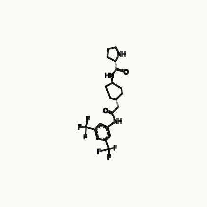 O=C(C[C@H]1CC[C@H](NC(=O)[C@@H]2CCCN2)CC1)Nc1cc(C(F)(F)F)cc(C(F)(F)F)c1